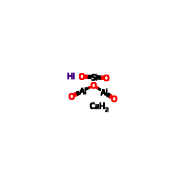 I.O=[Si]=O.[CaH2].[O]=[Al][O][Al]=[O]